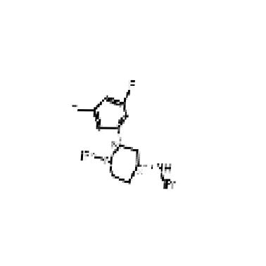 CC(C)N[C@@H]1CCN(C(C)C)[C@H](c2cc(F)cc(F)c2)C1